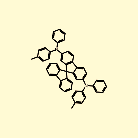 Cc1ccc(N(c2ccccc2)c2ccc3c(c2)C2(c4ccccc4-c4ccccc42)c2cc(N(c4ccccc4)c4ccc(C)cc4)ccc2-3)cc1